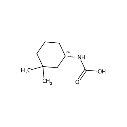 CC1(C)CCC[C@H](NC(=O)O)C1